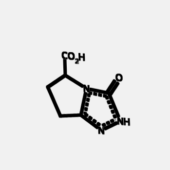 O=C(O)C1CCc2n[nH]c(=O)n21